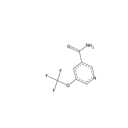 NC(=O)c1cncc(OC(F)(F)F)c1